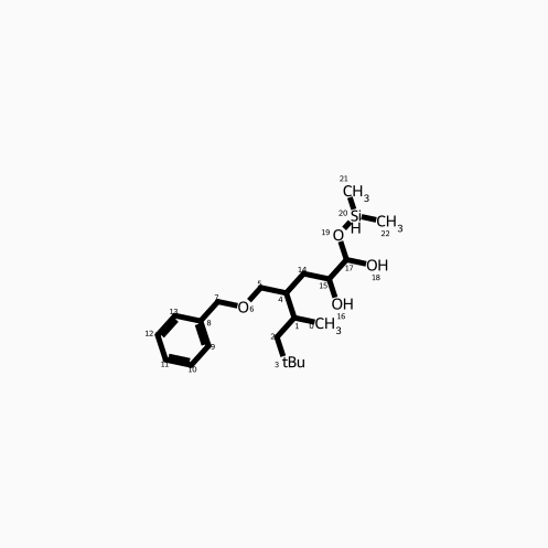 CC(CC(C)(C)C)C(COCc1ccccc1)CC(O)C(O)O[SiH](C)C